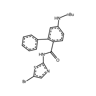 CCCCNc1ccc(C(=O)Nc2ncc(Br)s2)c(-c2ccccc2)c1